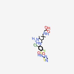 CC(N)C(CNc1cc(F)c(S(=O)(=O)Nc2ncns2)cc1Cl)CC(C)(C)CNCC(=O)O